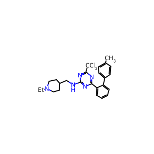 CCN1CCC(CNc2nc(-c3ccccc3-c3ccc(C)cc3)nc(C(Cl)(Cl)Cl)n2)CC1